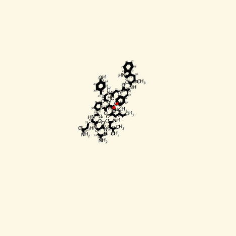 CC[C@@H](C)[C@H](NC(=O)[C@@H](NC(=O)[C@H](CC(N)=O)NC(=O)[C@H](CCC(N)=O)NC(=O)[C@@H]1CCCN1C(=O)[C@@H](NC(=O)[C@H](Cc1ccc(O)cc1)NC(=O)CNC(=O)[C@H](Cc1ccc(O)cc1)NC(=O)[C@@H](C)Cc1c[nH]c2ccccc12)C(C)O)C(C)C)C(N)=O